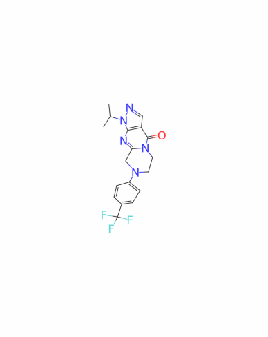 CC(C)n1ncc2c(=O)n3c(nc21)CN(c1ccc(C(F)(F)F)cc1)CC3